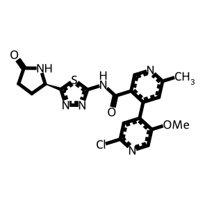 COc1cnc(Cl)cc1-c1cc(C)ncc1C(=O)Nc1nnc([C@H]2CCC(=O)N2)s1